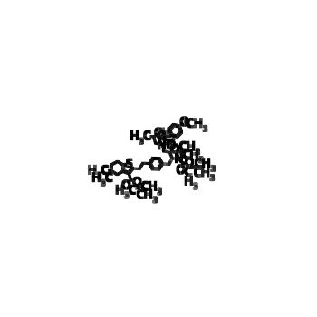 COc1ccc(S(=O)(=O)N(CC(C)C)C[C@H]2OC(C)(C)N(C(=O)OC(C)(C)C)[C@H]2Cc2ccc(CCc3sc4c(c3C(=O)OC(C)(C)C)CC(C)(C)CC4)cc2)cc1